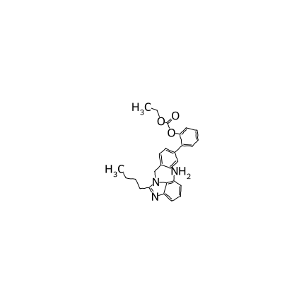 CCCCc1nc2cccc(N)c2n1Cc1ccc(-c2ccccc2OC(=O)OCC)cc1